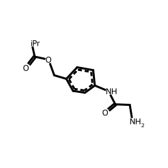 CC(C)C(=O)OCc1ccc(NC(=O)CN)cc1